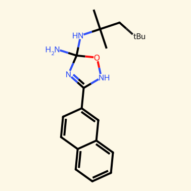 CC(C)(C)CC(C)(C)NC1(N)N=C(c2ccc3ccccc3c2)NO1